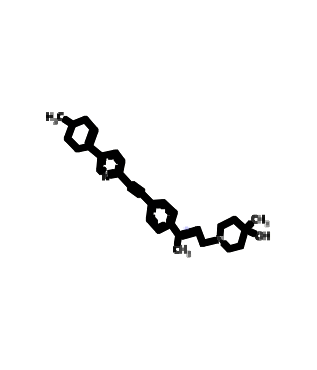 C/C(=C\CN1CCC(C)(O)CC1)c1ccc(C#Cc2ccc(C3=CCC(C)CC3)cn2)cc1